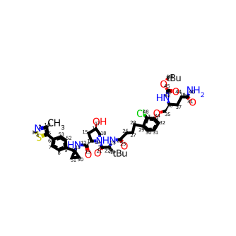 Cc1ncsc1-c1ccc(C2(NC(=O)[C@@H]3C[C@@H](O)CN3C(=O)C(NC(=O)CCCc3cccc(OC[C@H](CCC(N)=O)NC(=O)OC(C)(C)C)c3Cl)C(C)(C)C)CC2)cc1